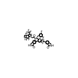 O=C(Cn1nc(C(F)(F)F)c2c1C(F)(F)[C@@H]1CC[C@H]21)N[C@@H](Cc1cc(F)cc(F)c1)c1nc2nc(-c3ccc4c(c3)C(=O)NC4)sc2cc1-c1ccc2c(c1)C(=O)NC2